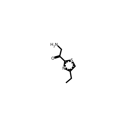 CCc1csc(C(=O)CN)n1